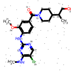 CNc1nc(Nc2ccc(C(=O)N3CCC(C(C)CO)CC3)cc2OC)ncc1Br